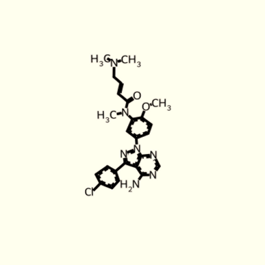 COc1ccc(-n2nc(-c3ccc(Cl)cc3)c3c(N)ncnc32)cc1N(C)C(=O)/C=C/CN(C)C